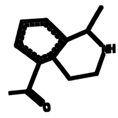 CC(=O)c1cccc2c1CCNC2C